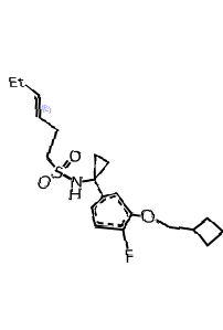 CC/C=C/CCS(=O)(=O)NC1(c2ccc(F)c(OCC3CCC3)c2)CC1